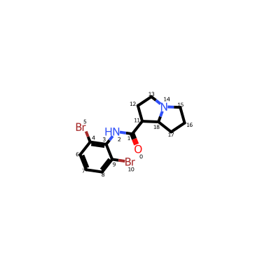 O=C(Nc1c(Br)cccc1Br)C1CCN2CCCC12